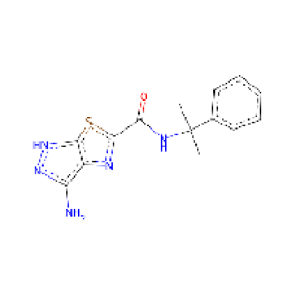 CC(C)(NC(=O)c1nc2c(N)n[nH]c2s1)c1ccccc1